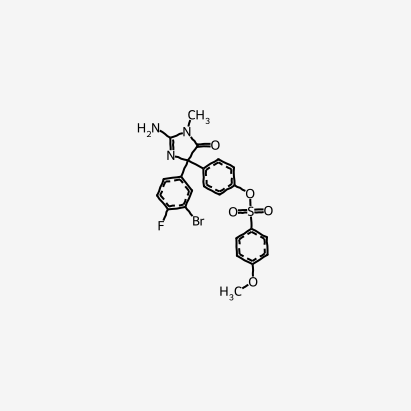 COc1ccc(S(=O)(=O)Oc2ccc(C3(c4ccc(F)c(Br)c4)N=C(N)N(C)C3=O)cc2)cc1